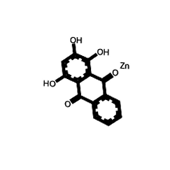 O=C1c2ccccc2C(=O)c2c(O)c(O)cc(O)c21.[Zn]